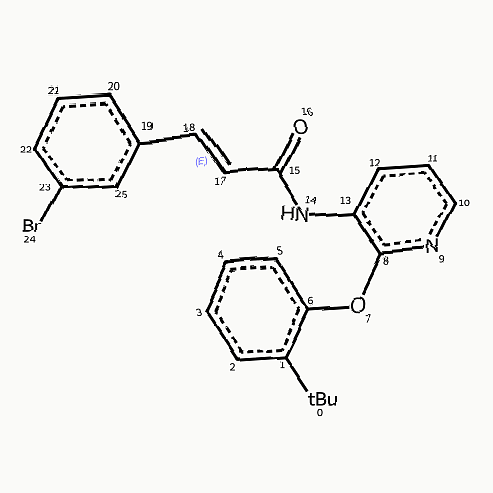 CC(C)(C)c1ccccc1Oc1ncccc1NC(=O)/C=C/c1cccc(Br)c1